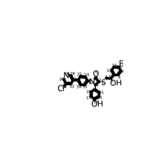 O=C1[C@H](SC[C@@H](O)c2ccc(F)cc2)[C@@H](c2ccc(O)cc2)N1c1ccc(-c2cncc(Cl)c2)cc1